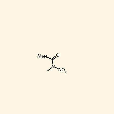 CNC(=O)N(C)[N+](=O)[O-]